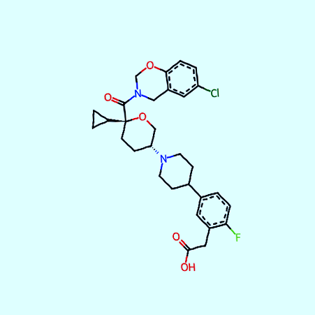 O=C(O)Cc1cc(C2CCN([C@@H]3CC[C@@](C(=O)N4COc5ccc(Cl)cc5C4)(C4CC4)OC3)CC2)ccc1F